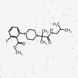 COC(=O)c1c(F)cccc1N1CCN(C(C)(C)C(=O)NCC(C)C)CC1